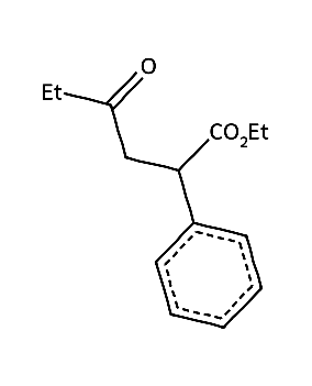 CCOC(=O)C(CC(=O)CC)c1ccccc1